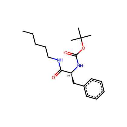 CCCCCNC(=O)[C@H](Cc1ccccc1)NC(=O)OC(C)(C)C